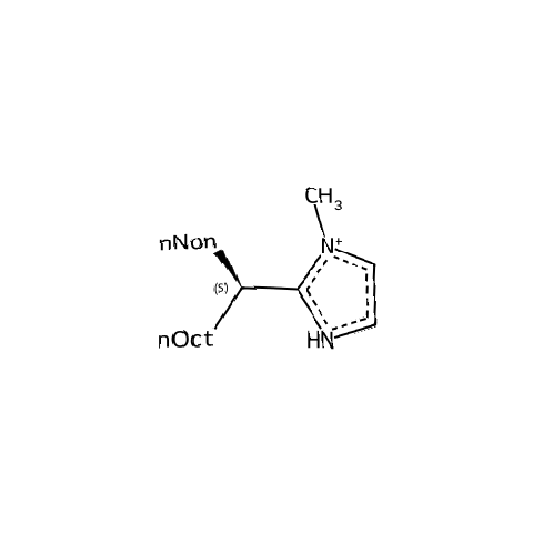 CCCCCCCCC[C@H](CCCCCCCC)c1[nH]cc[n+]1C